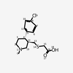 CN1CC[C@H](c2ccc(Cl)cc2)[C@@H](CSCC(=O)O)C1